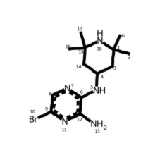 CC1(C)CC(Nc2ncc(Br)nc2N)CC(C)(C)N1